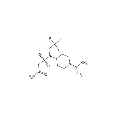 CC(C)N1CCC(N(CC(F)(F)F)S(=O)(=O)CC(N)=O)CC1